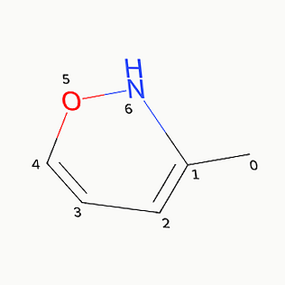 CC1=CC=CON1